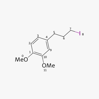 COc1ccc(CCCI)cc1OC